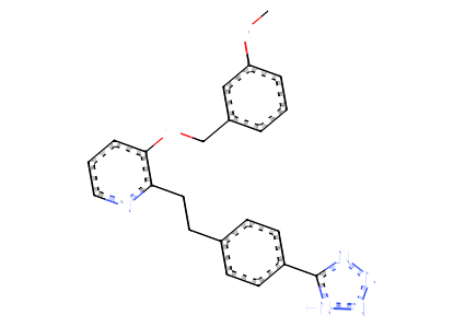 COc1cccc(COc2cccnc2CCc2ccc(-c3nnn[nH]3)cc2)c1